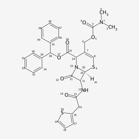 CN(C)C(=O)OCC1=CS[C@H]2C(NC(=O)Cc3cccs3)C(=O)N2C1C(=O)OC(c1ccccc1)c1ccccc1